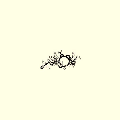 CCn1c(-c2cccnc2[C@H](C)OC)c2c3cc(ccc31)-c1cc(cc(C(F)F)c1)C[C@H](NC(=O)[C@H](C(C)C)N(C)C(=O)[C@@]1(O)CCN(C(=O)C#CC(C)(C)N3CCC3)C1)C(=O)N1CCC[C@H](N1)C(=O)OCC(C)(C)C2